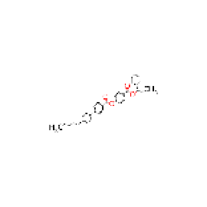 CCCCCc1ccc(-c2ccc(C(=O)Oc3ccc(C(=O)OC(CC)c4ccccc4)cc3)cc2)cc1